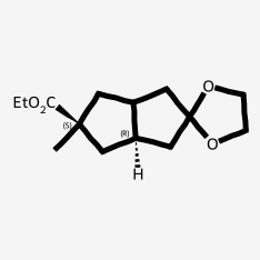 CCOC(=O)[C@@]1(C)CC2CC3(C[C@H]2C1)OCCO3